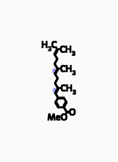 COC(=O)c1ccc(/C=C(\C)CC/C=C(\C)CCC=C(C)C)cc1